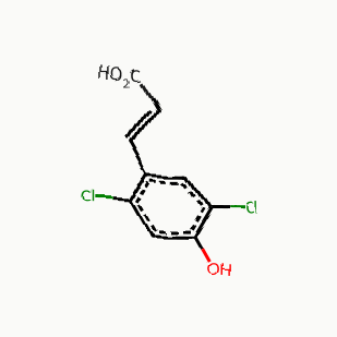 O=C(O)C=Cc1cc(Cl)c(O)cc1Cl